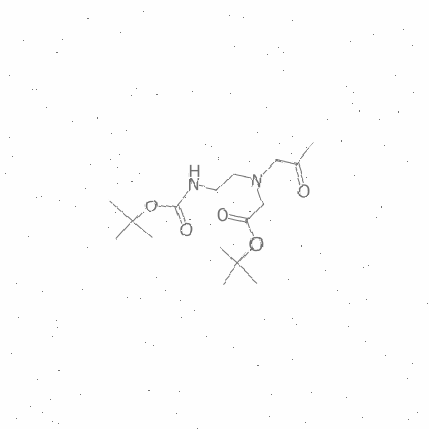 CC(=O)CN(CCNC(=O)OC(C)(C)C)CC(=O)OC(C)(C)C